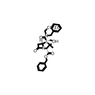 CCOC(=O)CN(Cc1ccccc1)C(=O)[S@]1(CO)[C@@H]2CC(=O)N2[C@@H](C(=O)OCc2ccccc2)C1(C)C